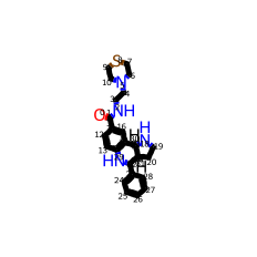 O=C(NCCN1CCSCC1)c1ccc2c(c1)[C@H]1NCC[C@H]1C(c1ccccc1)N2